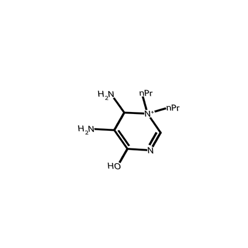 CCC[N+]1(CCC)C=NC(O)=C(N)C1N